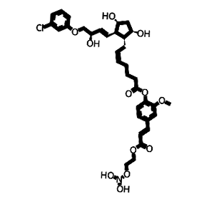 COc1cc(/C=C/C(=O)OCCON(O)O)ccc1OC(=O)CCC/C=C\C[C@@H]1[C@@H](/C=C/[C@@H](O)COc2cccc(Cl)c2)[C@H](O)C[C@@H]1O